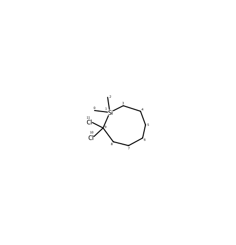 C[Si]1(C)CCCCCCC1(Cl)Cl